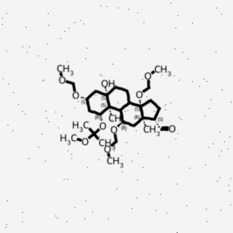 COCO[C@H]1C[C@@H](OC(C)(C)OC)[C@]2(C)C3C(CC[C@]2(O)C1)[C@@]1(OCOC)CC[C@H](C=O)[C@@]1(C)C[C@H]3OCOC